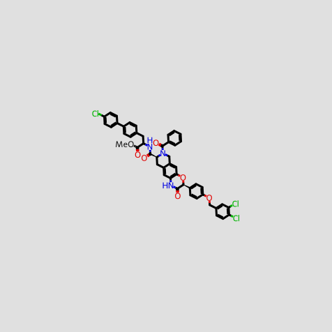 COC(=O)C(Cc1ccc(-c2ccc(Cl)cc2)cc1)NC(=O)[C@@H]1Cc2cc3c(cc2CN1C(=O)c1ccccc1)O[C@@H](c1ccc(OCc2ccc(Cl)c(Cl)c2)cc1)C(=O)N3